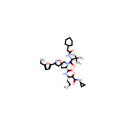 CCC[C@H](NC(=O)[C@@H]1C[C@]2(CC(c3ccc(CC)o3)=NO2)CN1C(=O)[C@@H](NC(=O)CC1CCCCC1)C(C)(C)C)C(=O)C(=O)NC1CC1